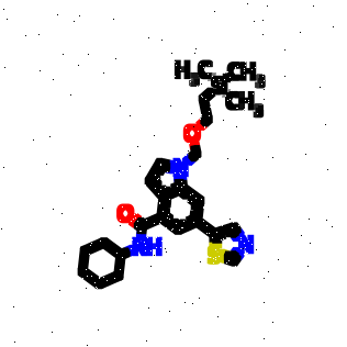 C[Si](C)(C)CCOCn1ccc2c(C(=O)NC3CCCCC3)cc(-c3cncs3)cc21